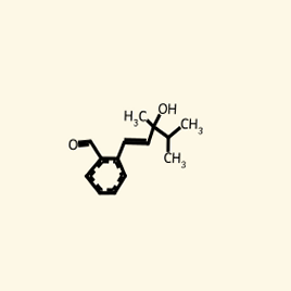 CC(C)C(C)(O)/C=C/c1ccccc1C=O